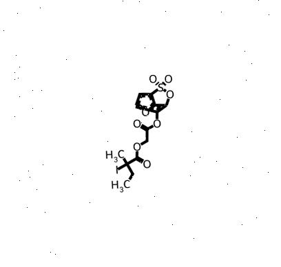 CCC(C)(I)C(=O)OCC(=O)Oc1c2c3oc1cc3S(=O)(=O)O2